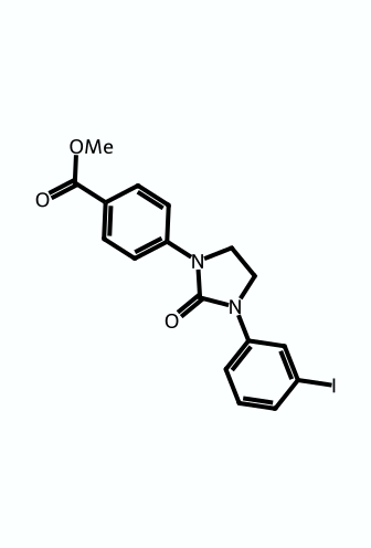 COC(=O)c1ccc(N2CCN(c3cccc(I)c3)C2=O)cc1